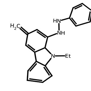 C=C1C=C(NNc2ccccc2)C2C(=C1)c1ccccc1N2CC